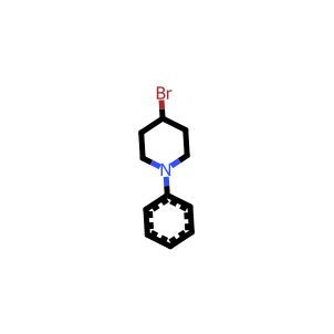 BrC1CCN(c2ccccc2)CC1